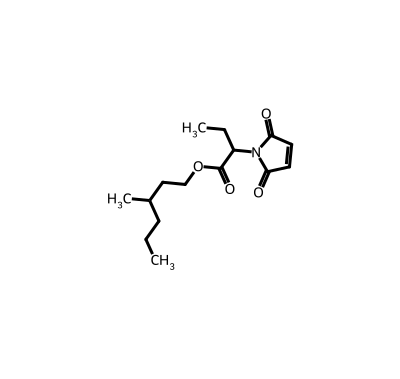 CCCC(C)CCOC(=O)C(CC)N1C(=O)C=CC1=O